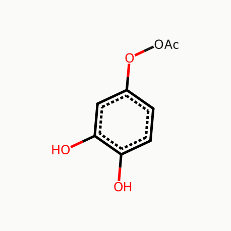 CC(=O)OOc1ccc(O)c(O)c1